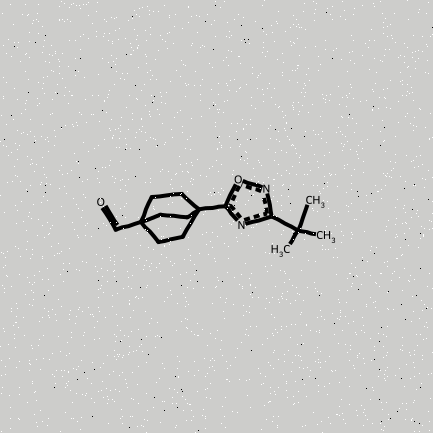 CC(C)(C)c1noc(C23CCC(C=O)(CC2)CC3)n1